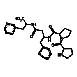 O=C(CC(Cc1ccccc1)NC(=O)C1CCCN1C(=O)C1CCCN1)NC(Cc1cccnc1)C(=O)O